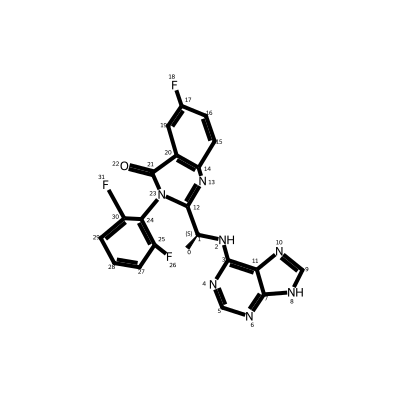 C[C@H](Nc1ncnc2[nH]cnc12)c1nc2ccc(F)cc2c(=O)n1-c1c(F)cccc1F